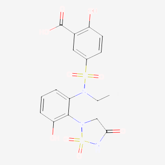 CCN(c1cccc(O)c1N1CC(=O)NS1(=O)=O)S(=O)(=O)c1ccc(O)c(C(=O)O)c1